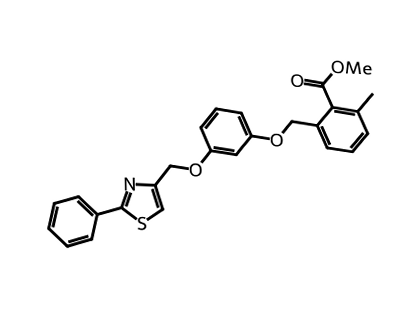 COC(=O)c1c(C)cccc1COc1cccc(OCc2csc(-c3ccccc3)n2)c1